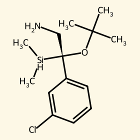 C[SiH](C)[C@](CN)(OC(C)(C)C)c1cccc(Cl)c1